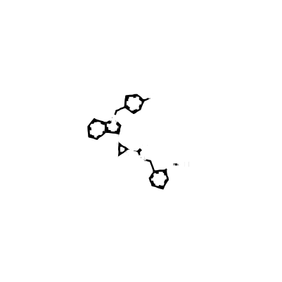 COc1ccccc1CNC(=O)[C@H]1C[C@@H]1c1cn(Cc2ccc(C)cc2)c2ccccc12